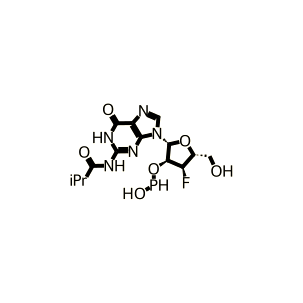 CC(C)C(=O)Nc1nc2c(ncn2[C@@H]2O[C@H](CO)[C@@H](F)[C@H]2OPO)c(=O)[nH]1